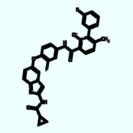 Cc1ccc(C(=O)Nc2ccc(Oc3ccc4nc(NC(=O)C5CC5)cn4c3)c(F)c2)[n+]([O-])c1-c1cccc(F)c1